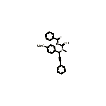 COc1ccc(C(C#Cc2ccccc2)N(C)C(=N)NC(=O)c2ccccc2)cc1